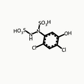 O=S(=O)(O)NN(c1cc(O)c(Cl)cc1Cl)S(=O)(=O)O